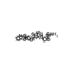 CC(C)(C)OC(=O)N(C[C@H](O)COc1cccc(S(=O)(=O)CC(N)=O)c1)[C@H]1COC2(CCN(S(=O)(=O)c3cnc4ccccc4c3)CC2)C1